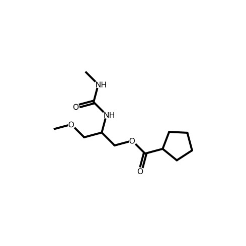 CNC(=O)NC(COC)COC(=O)C1CCCC1